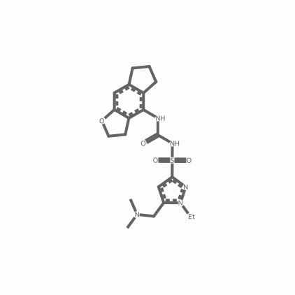 CCn1nc(S(=O)(=O)NC(=O)Nc2c3c(cc4c2CCO4)CCC3)cc1CN(C)C